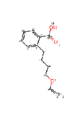 C=COCCCCc1ccccc1C(=O)O